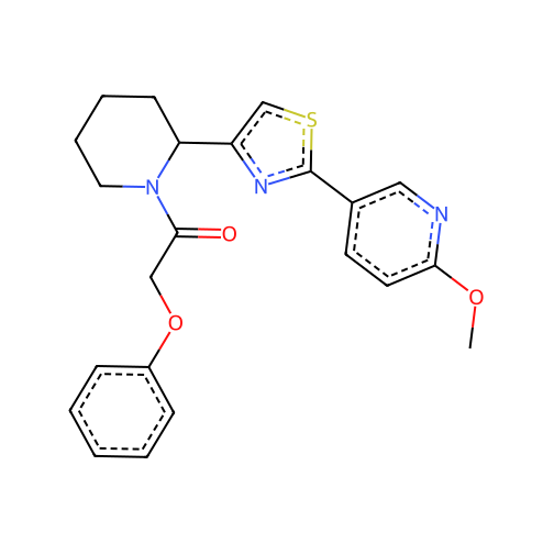 COc1ccc(-c2nc(C3CCCCN3C(=O)COc3ccccc3)cs2)cn1